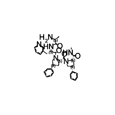 CNC(=O)[C@@H]1C[C@H](c2ccccc2)CN1C(=O)[C@@H]1C[C@H](c2ccccc2)CN1C(=O)[C@H](Cc1cccnc1)NC(=O)[C@H](C)N